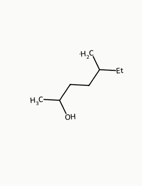 [CH2]C(CC)CCC(C)O